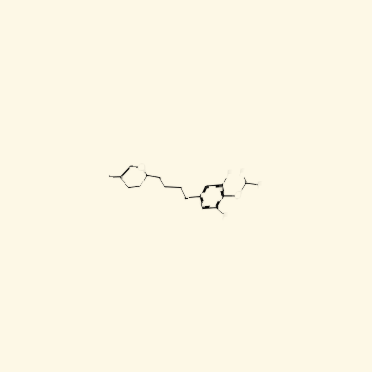 CC1=COC(CCCCc2cc(F)c(OC(F)F)c(F)c2)CC1